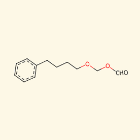 O=COCOCCCCc1ccccc1